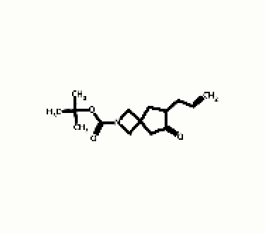 C=CCC1CC2(CC1=O)CN(C(=O)OC(C)(C)C)C2